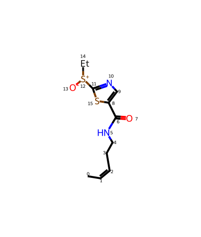 C/C=C\CCNC(=O)c1cnc([S+]([O-])CC)s1